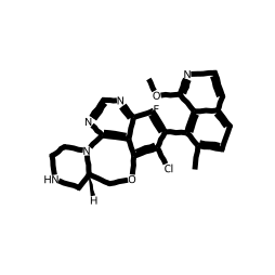 COc1nccc2ccc(C)c(-c3c(Cl)c4c5c(ncnc5c3F)N3CCNC[C@H]3CO4)c12